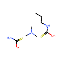 CCCNC(O)=S.CN(C)C.NC(O)=S